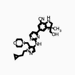 C[C@]1(CO)CNc2c(C#N)cc(-c3ccnc(Nc4cnn(CCC5CC5)c4CN4CCOCC4)n3)cc21